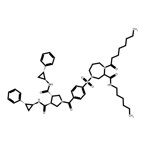 CCCCCCCC(=O)N1CCCN(S(=O)(=O)c2ccc(C(=O)N3C[C@@H](C(=O)N[C@H]4C[C@@H]4c4ccccc4)[C@H](C(=O)N[C@H]4C[C@@H]4c4ccccc4)C3)cc2)CC1C(=O)NCCCCCC